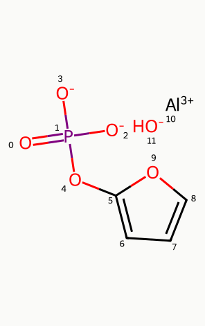 O=P([O-])([O-])Oc1ccco1.[Al+3].[OH-]